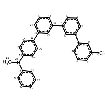 Cc1cccc(-c2cccc(-c3cccc(-c4ccc(N(C)c5ccccc5)cc4)c3)c2)c1